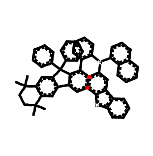 CC1(C)CCC(C)(C)c2cc3c(cc21)-c1cccc(-c2ccccc2N(c2ccc4oc5ccccc5c4c2)c2cccc4ccccc24)c1C3(c1ccccc1)c1ccccc1